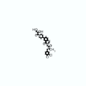 CN(Cc1ccc(Cl)c(Cl)c1)C(=O)Cn1cnc2ccc(C3CCN(C(=O)C(O)CO)CC3)cc2c1=O